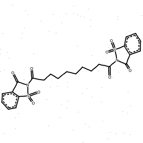 O=C(CCCCCCCCC(=O)N1C(=O)c2ccccc2S1(=O)=O)N1C(=O)c2ccccc2S1(=O)=O